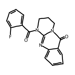 O=C(c1ccccc1F)N1CCCn2c1nc1ccccc1c2=O